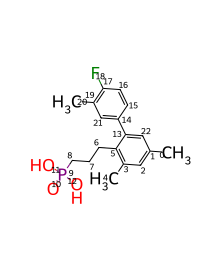 Cc1cc(C)c(CCCP(=O)(O)O)c(-c2ccc(F)c(C)c2)c1